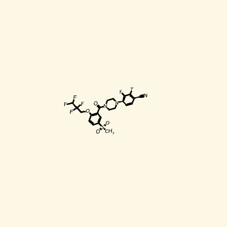 CS(=O)(=O)c1ccc(OCC(F)(F)C(F)F)c(C(=O)N2CCN(c3ccc(C#N)c(F)c3F)CC2)c1